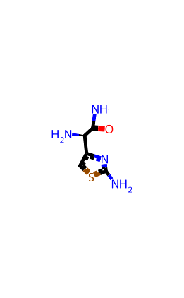 [NH]C(=O)[C@H](N)c1csc(N)n1